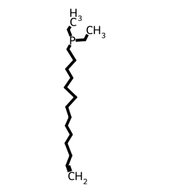 C=CCCCCCCCCCCCCP(CC)CC